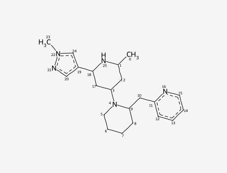 CC1[CH]C(N2CCCCC2Cc2ccccn2)CC(c2cnn(C)c2)N1